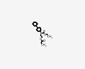 C=CC(=O)OCCN(C(=O)OCC)c1ccc(-c2ccccc2)cc1